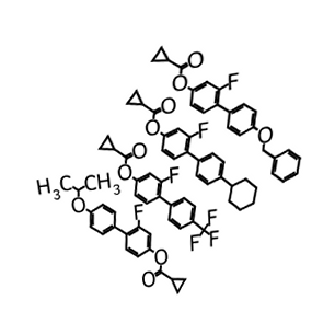 CC(C)Oc1ccc(-c2ccc(OC(=O)C3CC3)cc2F)cc1.O=C(Oc1ccc(-c2ccc(C(F)(F)F)cc2)c(F)c1)C1CC1.O=C(Oc1ccc(-c2ccc(C3CCCCC3)cc2)c(F)c1)C1CC1.O=C(Oc1ccc(-c2ccc(OCc3ccccc3)cc2)c(F)c1)C1CC1